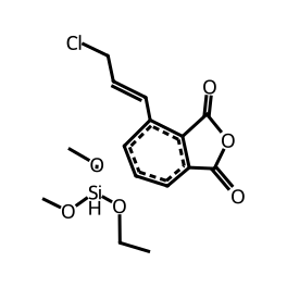 CCO[SiH](OC)OC.O=C1OC(=O)c2c(C=CCCl)cccc21